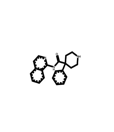 O=C(Nc1nccc2ccccc12)C1(c2ccccc2)CCNCC1